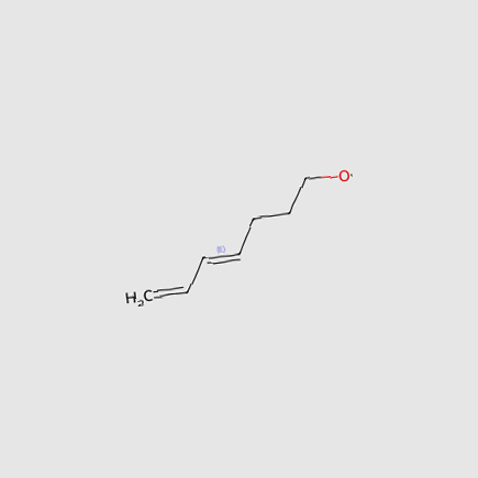 C=C/C=C/CCC[O]